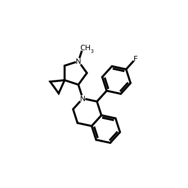 CN1CC(N2CCc3ccccc3C2c2ccc(F)cc2)C2(CC2)C1